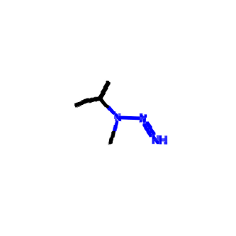 CC(C)N(C)N=N